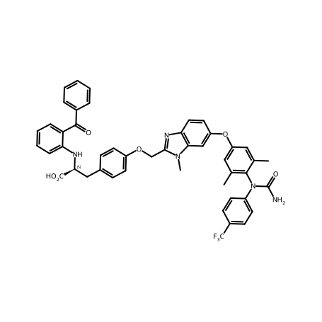 Cc1cc(Oc2ccc3nc(COc4ccc(C[C@H](Nc5ccccc5C(=O)c5ccccc5)C(=O)O)cc4)n(C)c3c2)cc(C)c1N(C(N)=O)c1ccc(C(F)(F)F)cc1